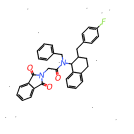 O=C1c2ccccc2C(=O)N1CC(=O)N(Cc1ccccc1)C1c2ccccc2CCC1Cc1ccc(F)cc1